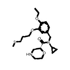 CCOc1ccc(CN(C(=O)[C@H]2CNCCO2)C2CC2)cc1OCCCOC